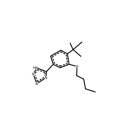 CCCCOc1cc(-c2nnn[nH]2)ccc1C(C)(C)C